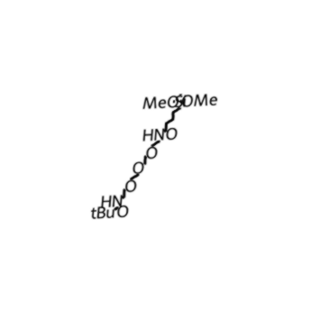 CO[Si](C)(CCCCC(=O)NCCOCCOCCOCCNC(=O)C(C)(C)C)OC